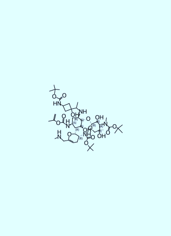 C=C(C)OC(=O)N[C@H]1C[C@@H](NC(C)C2(O)CC(NC(=O)OC(C)(C)C)C2)[C@H](O[C@H]2OC[C@](C)(O)[C@H](N(C)C(=O)OC(C)(C)C)[C@H]2O)[C@@H](O)[C@@H]1C1OC(CNC)=CC[C@H]1NC(=O)OC(C)(C)C